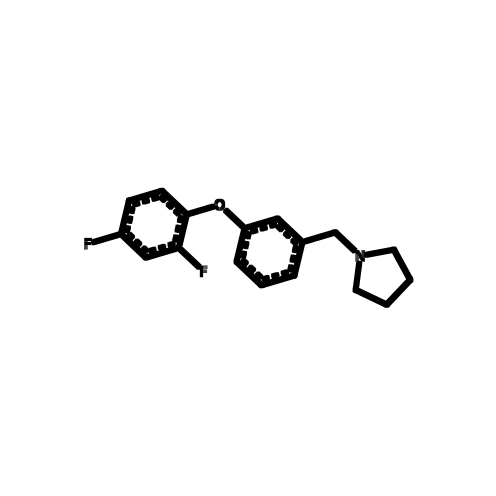 Fc1ccc(Oc2cccc(CN3CCCC3)c2)c(F)c1